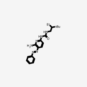 CCCCC(CC)CNC(=O)Nc1ccc(N=Nc2ccccc2)c(N)n1